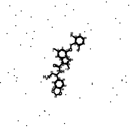 Cc1cc(OCc2c(F)cccc2F)n2nc(C)c(C(=O)NC(CN)c3ccc4c(c3)OCO4)c2c1